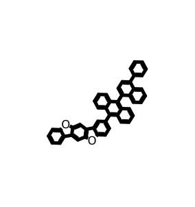 c1ccc(-c2ccc(-c3c4ccccc4c(-c4ccc5oc6cc7c(cc6c5c4)oc4ccccc47)c4ccccc34)c3ccccc23)cc1